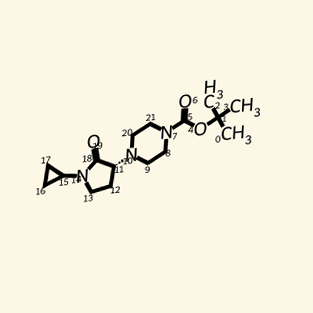 CC(C)(C)OC(=O)N1CCN([C@@H]2CCN(C3CC3)C2=O)CC1